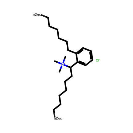 CCCCCCCCCCCCCCCCc1ccccc1C(CCCCCCCCCCCCCCCC)[N+](C)(C)C.[Cl-]